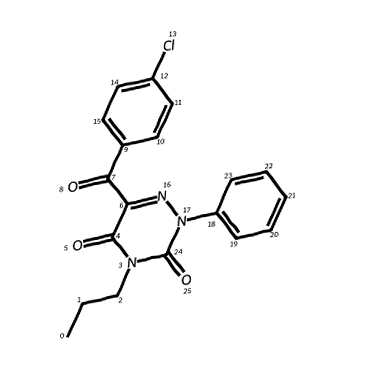 CCCn1c(=O)c(C(=O)c2ccc(Cl)cc2)nn(-c2ccccc2)c1=O